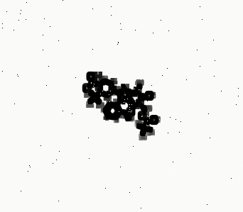 C=Cc1ccccc1-n1c(N2CCN(C(=O)O)C(C(C)(C)C)C2)nc2c1c(=O)n(COC(=O)C(C)(C)C)c(=O)n2C